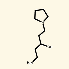 NCCC(O)CCN1CCCC1